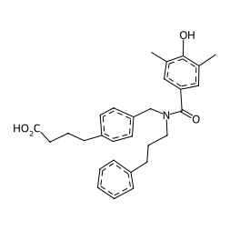 Cc1cc(C(=O)N(CCCc2ccccc2)Cc2ccc(CCCC(=O)O)cc2)cc(C)c1O